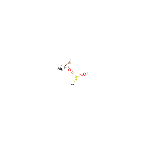 C[SH](=O)=O.[Mg+2][Br]